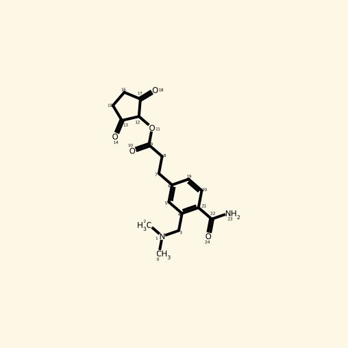 CN(C)Cc1cc(CCC(=O)OC2C(=O)CCC2=O)ccc1C(N)=O